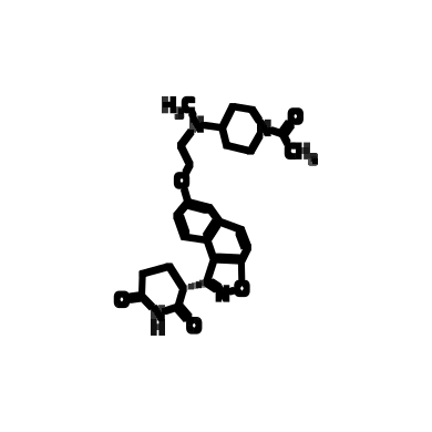 CC(=O)N1CCC(N(C)CCOc2ccc3c(ccc4onc([C@H]5CCC(=O)NC5=O)c43)c2)CC1